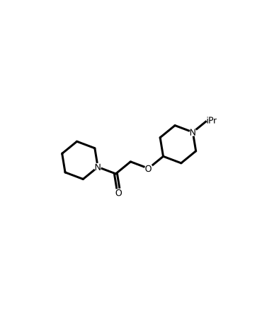 CC(C)N1CCC(OCC(=O)N2CCCCC2)CC1